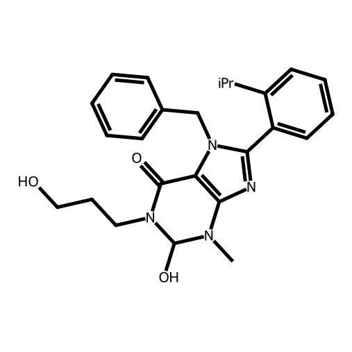 CC(C)c1ccccc1-c1nc2c(n1Cc1ccccc1)C(=O)N(CCCO)C(O)N2C